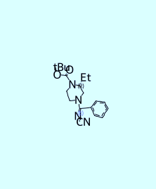 CC[C@@H]1CN(/C(=N/C#N)c2ccccc2)CCN1C(=O)OC(C)(C)C